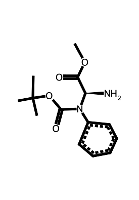 COC(=O)[C@@H](N)N(C(=O)OC(C)(C)C)c1ccccc1